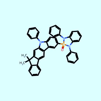 CC1(C)c2ccccc2-c2cc3c4cc(P5(=O)N(c6ccccc6)c6ccccc6N5c5ccccc5)ccc4n(-c4ccccc4)c3cc21